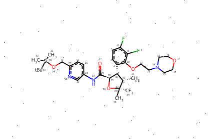 C[C@H]1[C@@H](c2ccc(F)c(F)c2OCCN2CCOCC2)[C@H](C(=O)Nc2ccc(CO[Si](C)(C)C(C)(C)C)nc2)O[C@@]1(C)C(F)(F)F